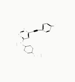 OC1CCC(Nc2cc(C#Cc3ccc(Cl)cc3)ncn2)CC1